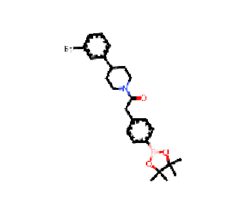 CCc1cccc(C2CCN(C(=O)Cc3ccc(B4OC(C)(C)C(C)(C)O4)cc3)CC2)c1